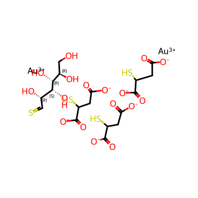 O=C([O-])CC(S)C(=O)[O-].O=C([O-])CC(S)C(=O)[O-].O=C([O-])CC(S)C(=O)[O-].OC[C@@H](O)[C@@H](O)[C@H](O)[C@@H](O)C=S.[Au+3].[Au+3]